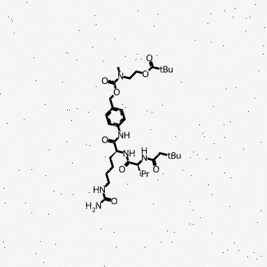 CC(C)[C@H](NC(=O)CC(C)(C)C)C(=O)N[C@@H](CCCCNC(N)=O)C(=O)Nc1ccc(COC(=O)N(C)CCOC(=O)C(C)(C)C)cc1